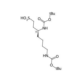 CC(C)(C)OC(=O)NCCCC[C@@H](CCS(=O)(=O)O)NC(=O)OC(C)(C)C